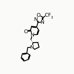 O=c1cc(-c2noc(C(F)(F)F)n2)ccn1C[C@@H]1CCCN1Cc1ccccc1